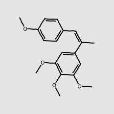 COc1ccc(C=C(C)c2cc(OC)c(OC)c(OC)c2)cc1